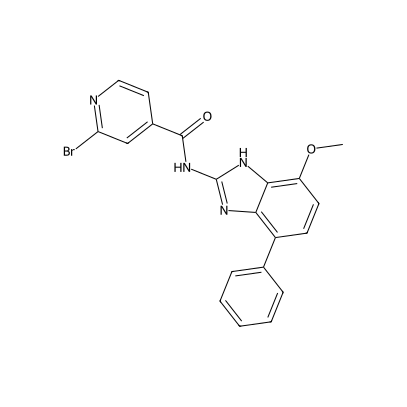 COc1ccc(-c2ccccc2)c2nc(NC(=O)c3ccnc(Br)c3)[nH]c12